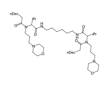 CCCCCCCCCCCC(=O)N(CCCN1CCOCC1)C(C(=O)NCCCCCCNC(=O)C(C(C)C)N(CCCN1CCOCC1)C(=O)CCCCCCCCCCC)C(C)C